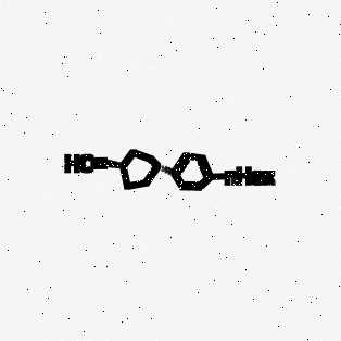 C#C[C@H]1CC[C@H](c2ccc(CCCCCC)cc2)CC1